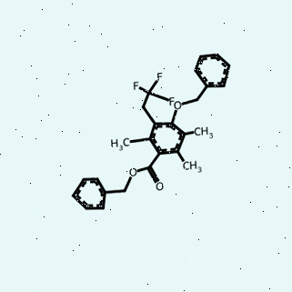 Cc1c(C)c(C(=O)OCc2ccccc2)c(C)c(CC(F)(F)F)c1OCc1ccccc1